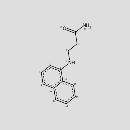 NC(=O)CCNc1cccc2ccccc12